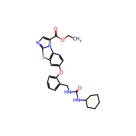 CCOC(=O)c1cnc2sc3cc(Oc4ccccc4CNC(=O)NC4CCCCC4)ccc3n12